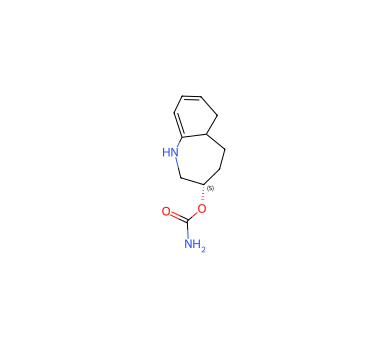 NC(=O)O[C@H]1CCC2CC=CC=C2NC1